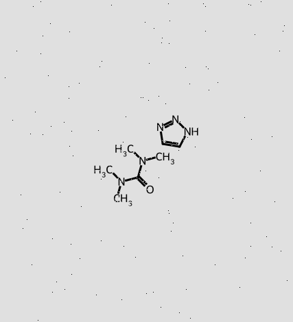 CN(C)C(=O)N(C)C.c1c[nH]nn1